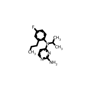 CCCc1cc(F)ccc1N(c1ccnc(N)n1)C(C)C